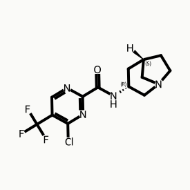 O=C(N[C@@H]1C[C@@H]2CCN(C2)C1)c1ncc(C(F)(F)F)c(Cl)n1